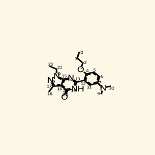 CCCOc1ccc(N(C)C)cc1-c1nc2c(c(C)nn2CC)c(=O)[nH]1